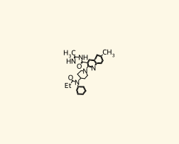 CCC(=O)N(c1ccccc1)C1CCN(c2nc3ccc(C)cc3cc2C(=O)NC(C)=N)CC1